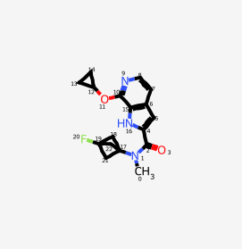 CN(C(=O)c1cc2ccnc(OC3CC3)c2[nH]1)C12CC(F)(C1)C2